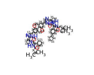 CC(C)CC(=O)N[C@@H](C(=O)N1CCC[C@H]1c1ncc(-c2cc3c4c(c2)OCc2cc(-c5cnc([C@@H]6CCCN6C(=O)[C@H](NC(=O)CC(C)C)c6ccc(C7CCCC7)cc6)[nH]5)cc(c2-4)OC3)[nH]1)c1ccccc1